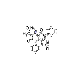 CN(C(=O)Oc1ccccc1)/C(=N\[N+](=O)[O-])N(Cc1cnc(Cl)s1)C(=O)Oc1ccccc1